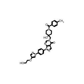 Cc1ccc(C(=O)N2CCC(O)(Cn3cnc4c(cnn4-c4ccc(-n5cc(OCCO)cn5)cc4)c3=O)CC2)cc1